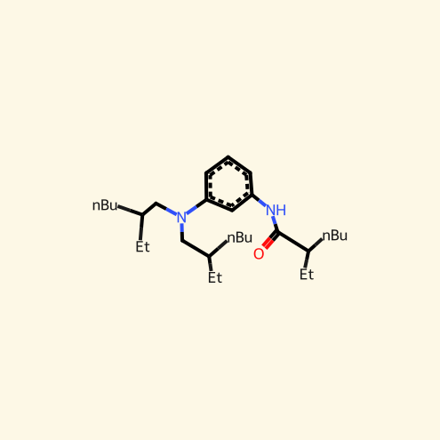 CCCCC(CC)CN(CC(CC)CCCC)c1cccc(NC(=O)C(CC)CCCC)c1